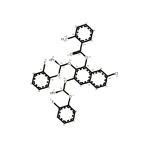 CCC[C@H](Oc1ccccc1F)Oc1cc2ccc(Cl)cc2c(OC(=O)c2ccccc2C)c1O[C@H](CCC)Oc1ccccc1F